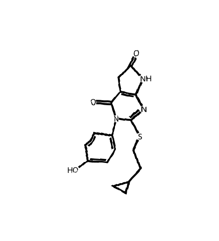 O=C1Cc2c(nc(SCCC3CC3)n(-c3ccc(O)cc3)c2=O)N1